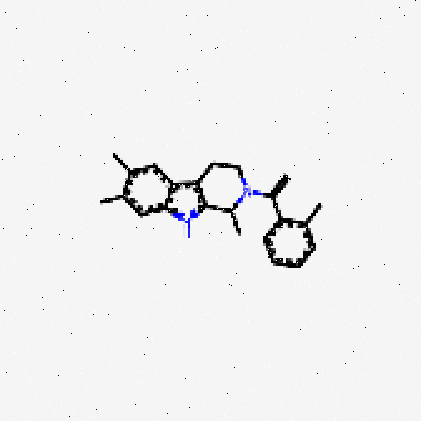 C=C(c1ccccc1C)N1CCc2c([nH]c3cc(C)c(C)cc23)C1C